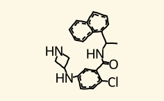 CC(NC(=O)c1cc(NC2CNC2)ccc1Cl)c1cccc2ccccc12